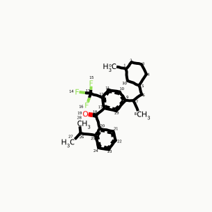 CC1CCCC(CC(C)c2ccc(C(F)(F)F)c(C(=O)c3ccccc3C(C)C)c2)C1